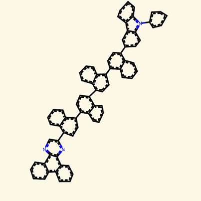 c1ccc(-n2c3ccccc3c3cc(-c4ccc(-c5ccc(-c6ccc(-c7ccc(-c8cnc9c%10ccccc%10c%10ccccc%10c9n8)c8ccccc78)c7ccccc67)c6ccccc56)c5ccccc45)ccc32)cc1